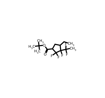 CCC1CC(C(=O)OC(C)(C)C)C(F)(F)C1(F)C(C)(F)F